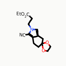 CCOC(=O)CCn1cc2c(c1C#N)CCC1(C2)OCCO1